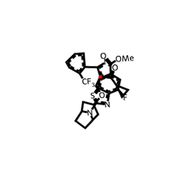 COC(=O)c1cc(F)c2nc(N3C4CCC3CC(OCc3c(-c5ccccc5C(F)(F)F)noc3C3CC3)C4)sc2c1